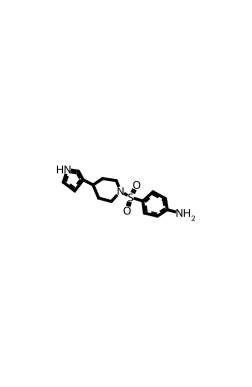 Nc1ccc(S(=O)(=O)N2CCC(c3cc[nH]c3)CC2)cc1